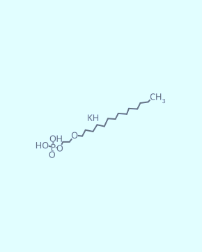 CCCCCCCCCCCCCCOCCOP(=O)(O)O.[KH]